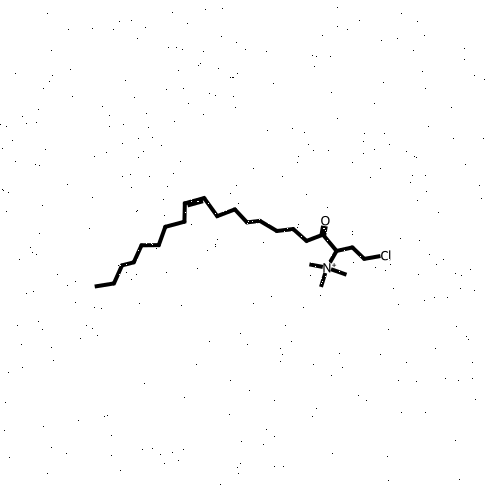 CCCCCCCC/C=C\CCCCCCCC(=O)C(CCCl)[N+](C)(C)C